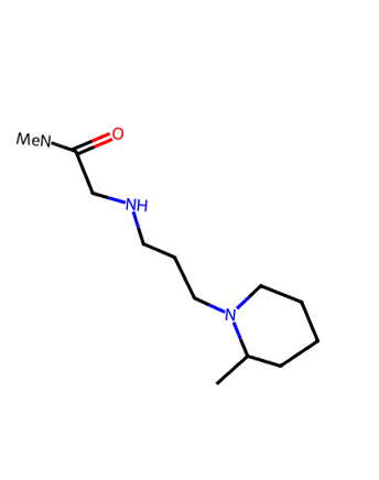 CNC(=O)CNCCCN1CCCCC1C